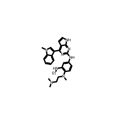 CCNc1cc(Nc2nc(-c3cn(C)c4ccccc34)c3cc[nH]c3n2)ccc1N(C)CCN(C)C